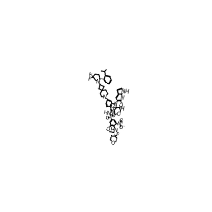 CC(C)c1ccccc1[C@@H]1CCC(F)(F)CN1C1CC2(CCN(c3ccc(C(=O)NS(=O)(=O)c4cc5c(c([N+](=O)[O-])c4)N[C@H](C4(F)CCOCC4)CO5)c(N4c5cc6cc[nH]c6nc5O[C@H]5COCC[C@@H]54)c3)CC2)C1